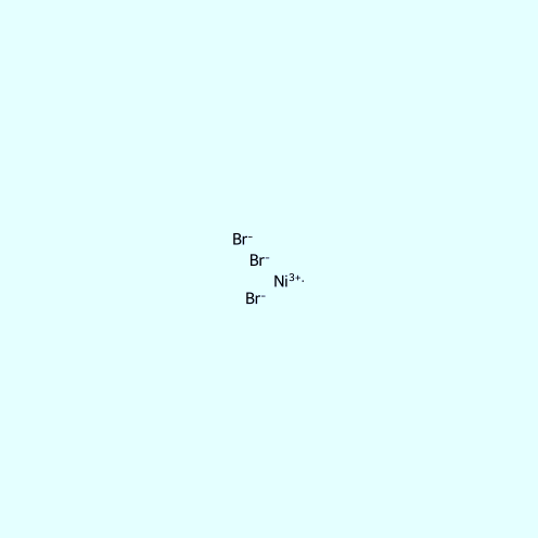 [Br-].[Br-].[Br-].[Ni+3]